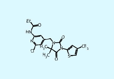 CCC(=O)Nc1cc(CN2C(=O)N(c3cc(C(F)(F)F)cs3)C(=O)C2(C)C)cc(Cl)n1